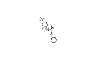 C/N=C(/C=C/c1ccccc1)NC1=C(C)CC(C(C)(C)C)C=C1